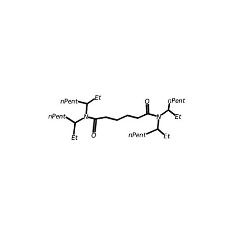 CCCCCC(CC)N(C(=O)CCCCC(=O)N(C(CC)CCCCC)C(CC)CCCCC)C(CC)CCCCC